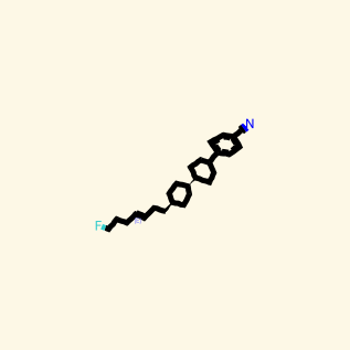 N#Cc1ccc(C2CCC([C@H]3CC[C@H](CC/C=C/CCCF)CC3)CC2)cc1